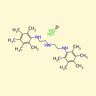 Cc1c(C)c(C)c(NCCNCCNc2c(C)c(C)c(C)c(C)c2C)c(C)c1C.Cl.Cl.[Zr]